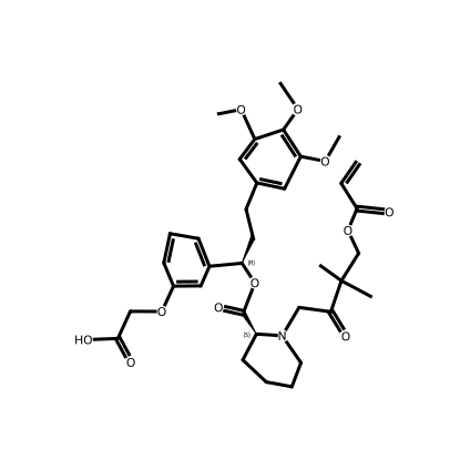 C=CC(=O)OCC(C)(C)C(=O)CN1CCCC[C@H]1C(=O)O[C@H](CCc1cc(OC)c(OC)c(OC)c1)c1cccc(OCC(=O)O)c1